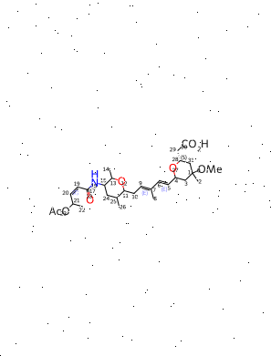 COC1(C)CC(/C=C/C(C)=C/CC2OC(C)C(NC(=O)/C=C\C(C)OC(C)=O)CC2C)O[C@H](CC(=O)O)C1